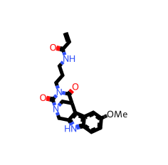 C=CC(=O)NCCCN1C(=O)C2CN(Cc3[nH]c4ccc(OC)cc4c32)C1=O